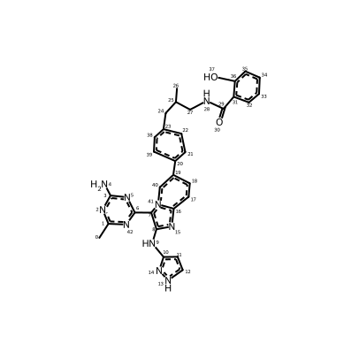 Cc1nc(N)nc(-c2c(Nc3cc[nH]n3)nc3ccc(-c4ccc(CC(C)CNC(=O)c5ccccc5O)cc4)cn23)n1